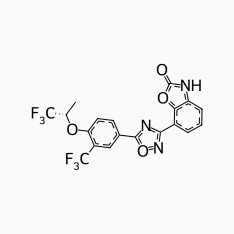 C[C@H](Oc1ccc(-c2nc(-c3cccc4[nH]c(=O)oc34)no2)cc1C(F)(F)F)C(F)(F)F